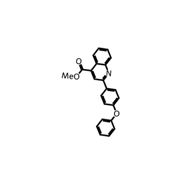 COC(=O)c1cc(-c2ccc(Oc3ccccc3)cc2)nc2ccccc12